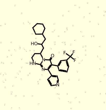 O=c1c(-c2cccc(C(F)(F)F)c2)c(-c2ccncc2)nc2n1C(CC(O)CC1CCCCC1)CCN2